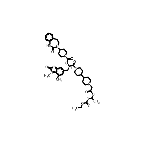 CCOC(=O)OC(C)OC(=O)CN1CCC(C2CCN(C(=O)[C@@H](Cc3cc(C)c4c(c3)oc(=O)n4C)OC(=O)N3CCC(N4CCc5ccccc5NC4=O)CC3)CC2)CC1